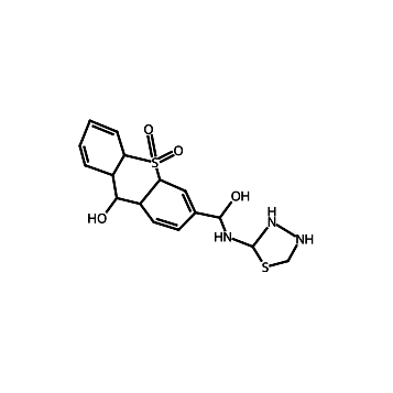 O=S1(=O)C2C=CC=CC2C(O)C2C=CC(C(O)NC3NNCS3)=CC21